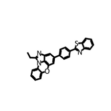 CCc1nc2cc(-c3ccc(-c4nc5ccccc5s4)cc3)cc3c2n1-c1ccccc1O3